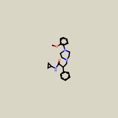 COc1ccccc1N1CCN(CC(C(=O)NC2CC2)c2ccccc2)CC1